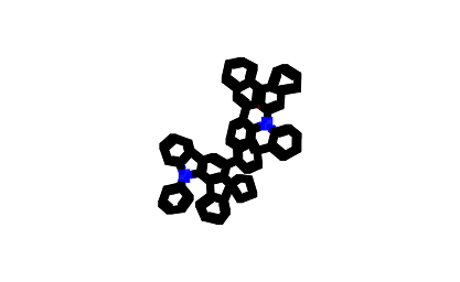 c1ccc(-n2c3ccccc3c3cc(-c4ccc(-c5ccccc5N(c5ccc6ccccc6c5)c5ccccc5-c5ccc6ccccc6c5)cc4)c4c(c32)-c2ccccc2C42CCCC2)cc1